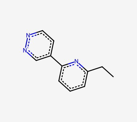 CCc1cccc(-c2ccnnc2)n1